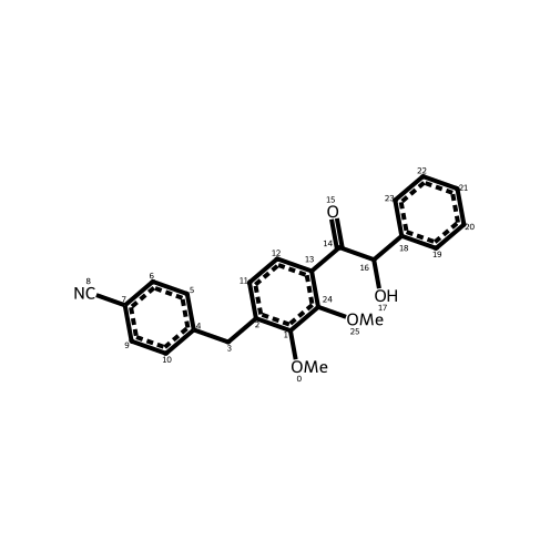 COc1c(Cc2ccc(C#N)cc2)ccc(C(=O)C(O)c2ccccc2)c1OC